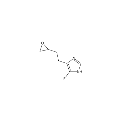 Fc1[nH]cnc1CCC1CO1